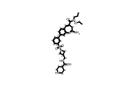 CCCN(OCC)C(=O)C1=Cc2ccc(-c3cccc(S(=O)(=O)N4CC(CNC(O)C5CCNCC5)C4)c3)cc2N=C(N)C1